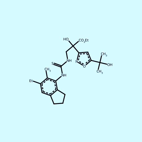 CCOC(=O)C(O)(CNC(=S)Nc1c(C)c(CC)cc2c1CCC2)c1cc(C(C)(C)O)on1